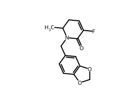 CC1CC=C(F)C(=O)N1Cc1ccc2c(c1)OCO2